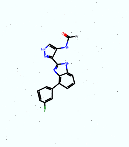 CC(C)C(=O)Nc1c[nH]nc1-c1nc2c(-c3cccc(F)c3)cccc2[nH]1